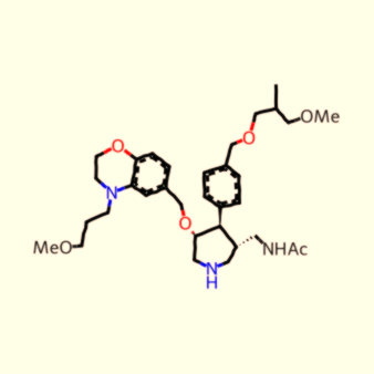 COCCCN1CCOc2ccc(CO[C@H]3CNC[C@@H](CNC(C)=O)[C@@H]3c3ccc(COCC(C)COC)cc3)cc21